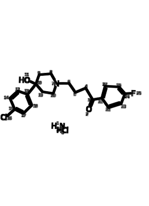 Cl.N.O=C(CCCN1CCC(O)(c2ccc(Cl)cc2)CC1)c1ccc(F)cc1